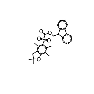 Cc1c(C)c(S(=O)(=O)C(=O)OCC2c3ccccc3-c3ccccc32)c(C)c2c1OC(C)(C)C2